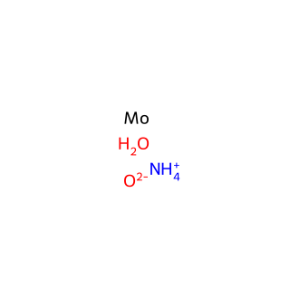 O.[Mo].[NH4+].[O-2]